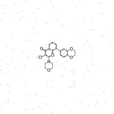 O=c1c(Cl)c(N2CCOCC2)oc2c(-c3ccc4c(c3)OCCO4)cccc12